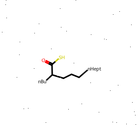 CCCCCCCCCCC(CCCC)C(=O)S